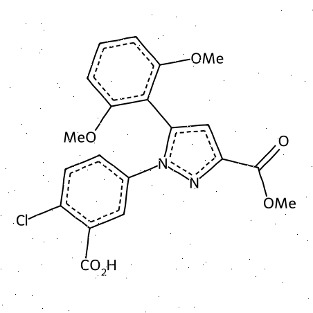 COC(=O)c1cc(-c2c(OC)cccc2OC)n(-c2ccc(Cl)c(C(=O)O)c2)n1